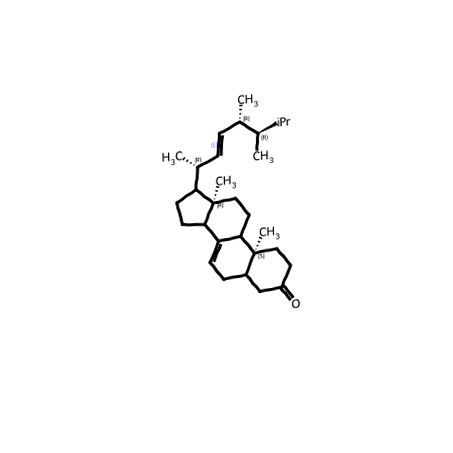 CC(C)[C@@H](C)[C@@H](C)/C=C/[C@@H](C)C1CCC2C3=CCC4CC(=O)CC[C@]4(C)C3CC[C@@]21C